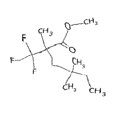 CCC(C)(C)CC(C)(C(=O)OC)C(F)(F)F